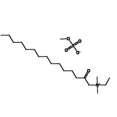 CCCCCCCCCCCCCC(=O)C[N+](C)(C)CC.COS(=O)(=O)[O-]